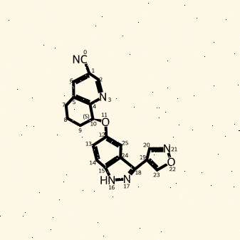 N#Cc1cnc2c(c1)CCC[C@@H]2Oc1ccc2[nH]nc(-c3cnoc3)c2c1